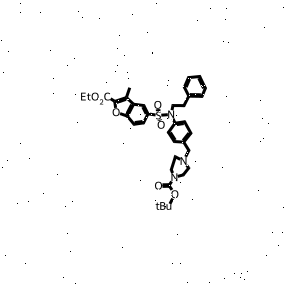 CCOC(=O)c1oc2ccc(S(=O)(=O)N(CCc3ccccc3)c3ccc(CN4CCN(C(=O)OC(C)(C)C)CC4)cc3)cc2c1C